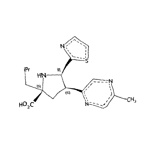 Cc1cnc([C@H]2C[C@@](CC(C)C)(C(=O)O)N[C@H]2c2nccs2)cn1